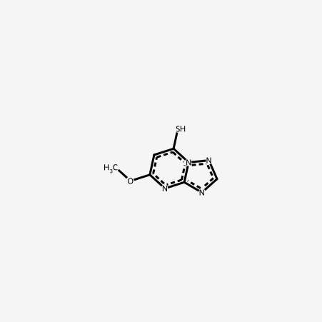 COc1cc(S)n2ncnc2n1